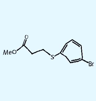 COC(=O)CCSc1cccc(Br)c1